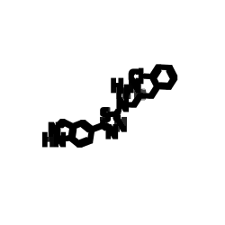 N[C@@H](CNc1nnc(-c2ccc3[nH]ncc3c2)s1)Cc1ccccc1Cl